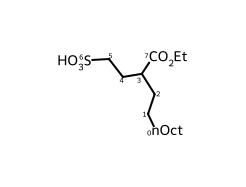 CCCCCCCCCCC(CCS(=O)(=O)O)C(=O)OCC